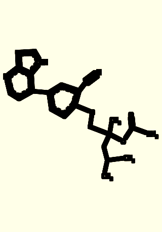 CC(C)CC(C)(COc1ccc(-c2ccnc3cc[nH]c23)cc1C#N)OC(N)=O